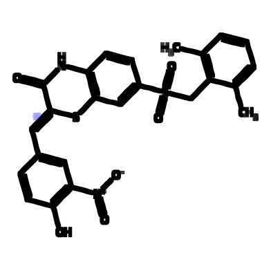 Cc1cccc(C)c1CS(=O)(=O)c1ccc2c(c1)S/C(=C\c1ccc(O)c([N+](=O)[O-])c1)C(=O)N2